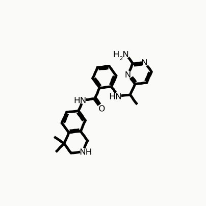 CC(Nc1ccccc1C(=O)Nc1ccc2c(c1)CNCC2(C)C)c1ccnc(N)n1